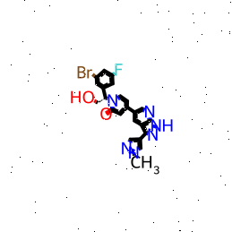 Cn1cc(-c2n[nH]c3ncc(-c4ccn([C@H](CO)c5cc(F)cc(Br)c5)c(=O)c4)cc23)cn1